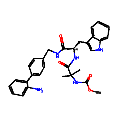 CC(C)(C)OC(=O)NC(C)(C)C(=O)N[C@H](Cc1c[nH]c2ccccc12)C(=O)NCc1ccc(-c2ccccc2N)cc1